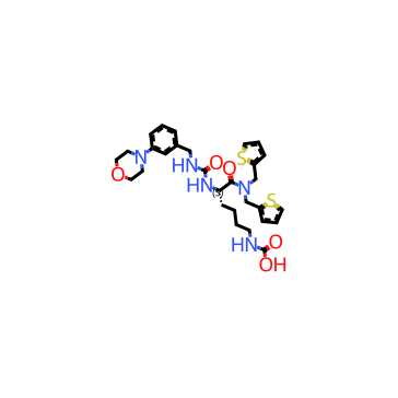 O=C(O)NCCCC[C@H](NC(=O)NCc1cccc(N2CCOCC2)c1)C(=O)N(Cc1cccs1)Cc1cccs1